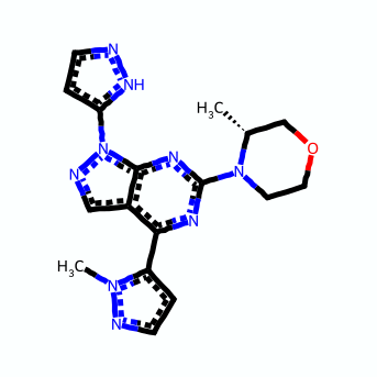 C[C@@H]1COCCN1c1nc(-c2ccnn2C)c2cnn(-c3ccn[nH]3)c2n1